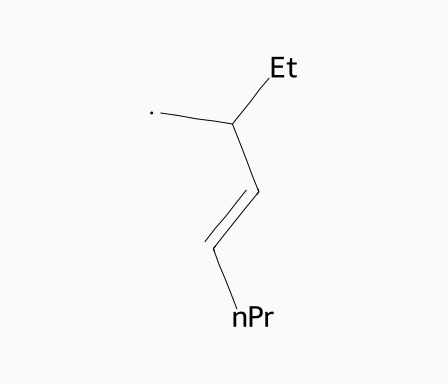 [CH2]C(C=CCCC)CC